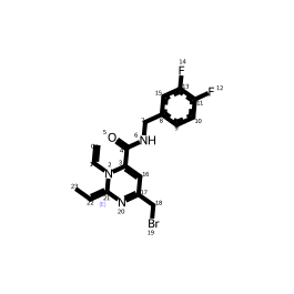 C=CN1C(C(=O)NCc2ccc(F)c(F)c2)=CC(CBr)=N/C1=C/C